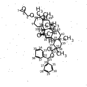 CC1(C)[C@@H](OCC2CO2)CC[C@]2(C)[C@H]3C(=O)C=C4[C@@H]5C[C@@](C)(C(=O)OC(c6ccccc6)c6ccccc6)CC[C@]5(C)CC[C@@]4(C)[C@]3(C)CC[C@@H]12